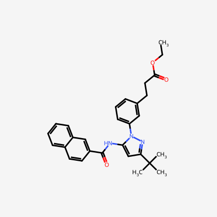 CCOC(=O)CCc1cccc(-n2nc(C(C)(C)C)cc2NC(=O)c2ccc3ccccc3c2)c1